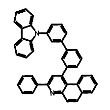 c1ccc(-c2cc(-c3cccc(-c4cccc(-n5c6ccccc6c6ccccc65)c4)c3)c3c(ccc4ccccc43)n2)cc1